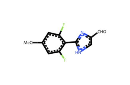 COc1cc(F)c(-c2nc(C=O)c[nH]2)c(F)c1